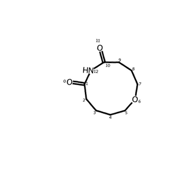 O=C1CCCCOCCCC(=O)N1